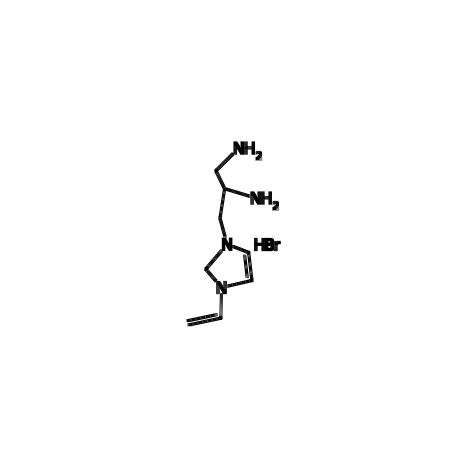 Br.C=CN1C=CN(CC(N)CN)C1